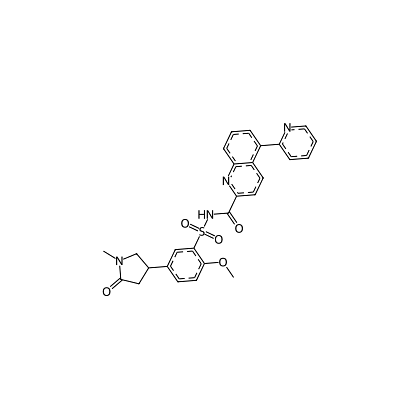 COc1ccc(C2CC(=O)N(C)C2)cc1S(=O)(=O)NC(=O)c1ccc2c(-c3ccccn3)cccc2n1